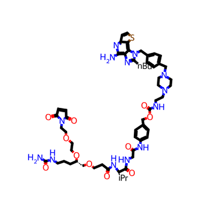 CCCCc1nc2c(N)nc3ccsc3c2n1Cc1ccc(CN2CCN(CCNC(=O)OCc3ccc(NC(=O)CNC(=O)[C@@H](NC(=O)CCOC[C@H](CCCNC(N)=O)OCCOCCN4C(=O)C=CC4=O)C(C)C)cc3)CC2)cc1